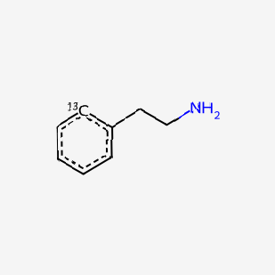 NCCc1cccc[13cH]1